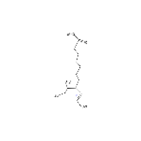 CCCCCCCC/C=C/C(CCCCCCC(=O)OC)C(CC(C)(C)C)C(=O)O